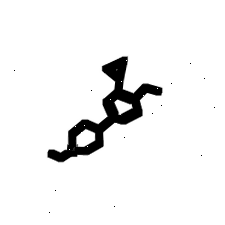 CCc1ccc(C2CCN(CC)CC2)cc1C1CC1